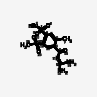 CCCCS(=O)(=O)c1cc(C)c(C(=O)N=C(N)N)cc1S(C)(=O)=O